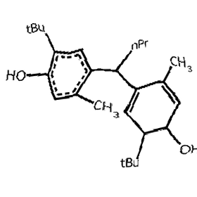 CCCC(C1=CC(C(C)(C)C)C(O)C=C1C)c1cc(C(C)(C)C)c(O)cc1C